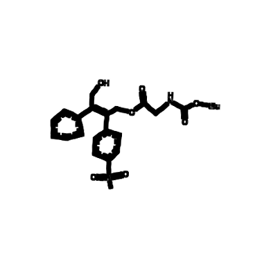 CC(C)(C)OC(=O)NCC(=O)OC/C(=C(\CO)c1ccccc1)c1ccc(S(C)(=O)=O)cc1